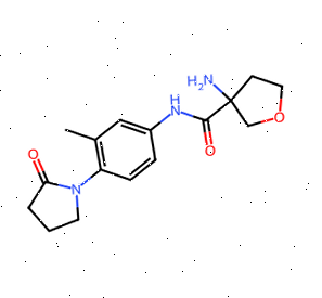 Cc1cc(NC(=O)C2(N)CCOC2)ccc1N1CCCC1=O